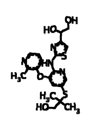 Cc1ncccc1Oc1cc(SC(C)(C)CO)cnc1Nc1nc(C(O)CO)cs1